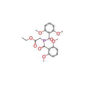 CCOC(=O)CP(C(=O)c1c(OC)cccc1OC)C(=O)c1c(OC)cccc1OC